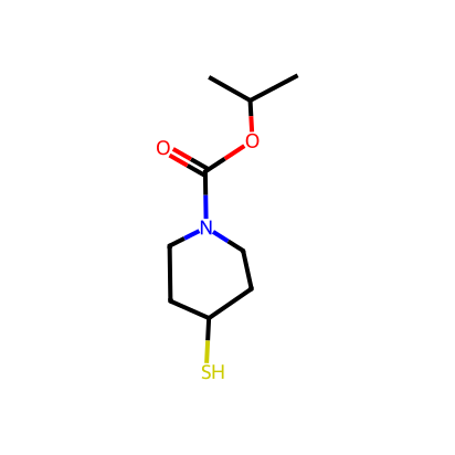 CC(C)OC(=O)N1CCC(S)CC1